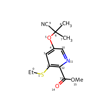 CCSc1cc(OC(C)(C)C#N)cnc1C(=O)OC